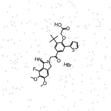 Br.COc1cc2c(c(F)c1OC)C(=N)N(CC(=O)c1cc(-c3cccs3)c(OCC(=O)O)c(C(C)(C)C)c1)C2